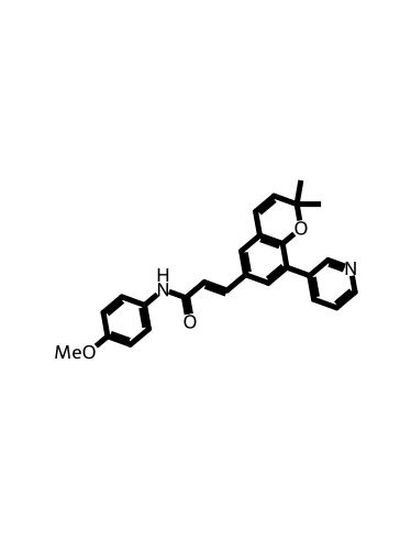 COc1ccc(NC(=O)C=Cc2cc3c(c(-c4cccnc4)c2)OC(C)(C)C=C3)cc1